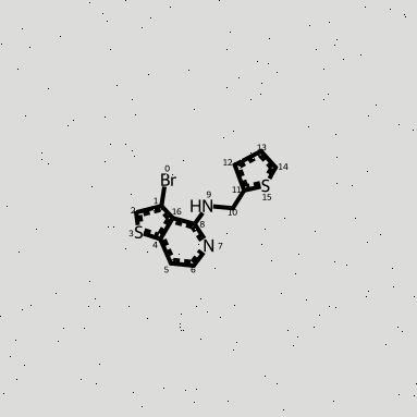 Brc1csc2ccnc(NCc3cccs3)c12